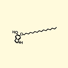 CCCCCCCCCCCCCCCCOc1cc2[nH]ccc2cc1O